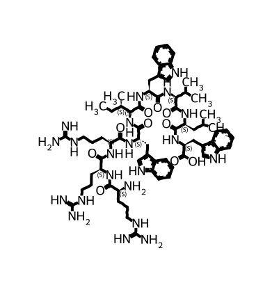 CC[C@H](C)[C@H](NC(=O)[C@H](Cc1c[nH]c2ccccc12)NC(=O)[C@H](CCCNC(=N)N)NC(=O)[C@H](CCCNC(=N)N)NC(=O)[C@@H](N)CCCNC(=N)N)C(=O)N[C@@H](Cc1c[nH]c2ccccc12)C(=O)N[C@H](C(=O)N[C@@H](CC(C)C)C(=O)N[C@@H](Cc1c[nH]c2ccccc12)C(=O)O)C(C)C